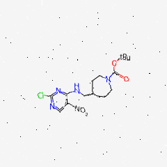 CC(C)(C)OC(=O)N1CCC(CNc2nc(Cl)ncc2[N+](=O)[O-])CC1